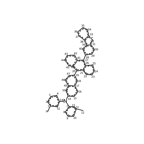 Cc1cccc(N(c2cccc(C)c2)c2ccc3cc(-c4c5ccccc5c(-c5ccc6sc7ccccc7c6c5)c5ccccc45)ccc3c2)c1